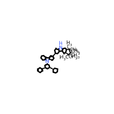 CC1(C)c2cc3[nH]c4ccc(-c5ccc6c(c5)c5ccccc5n6-c5cc(-c6ccccc6)cc(-c6ccccc6)c5)cc4c3cc2C(C)(C)C1(C)C